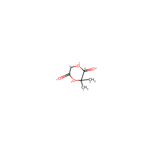 CC1(C)OC(=O)COC1=O